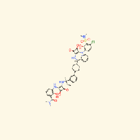 CCC(C)(Nc1c(Nc2cccc(C(=O)N(C)C)c2O)c(=O)c1=O)c1cccc(C2CCC([C@@H](Nc3c(Nc4ccc(Cl)c(S(=O)(=O)N(C)C)c4O)c(=O)c3=O)c3ccccc3)CC2)c1